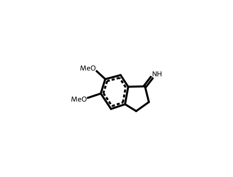 COc1cc2c(cc1OC)C(=N)CC2